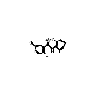 COc1cccc(F)c1NC(=O)c1cc(Cl)ncc1Cl